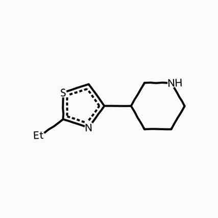 CCc1nc(C2CCCNC2)cs1